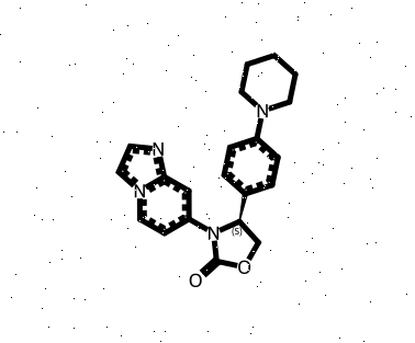 O=C1OC[C@H](c2ccc(N3CCCCC3)cc2)N1c1ccn2ccnc2c1